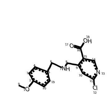 COc1ccc(CNCc2cc(Cl)ncc2C(=O)O)cc1